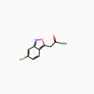 CNC(=O)Cc1onc2cc(Br)ccc12